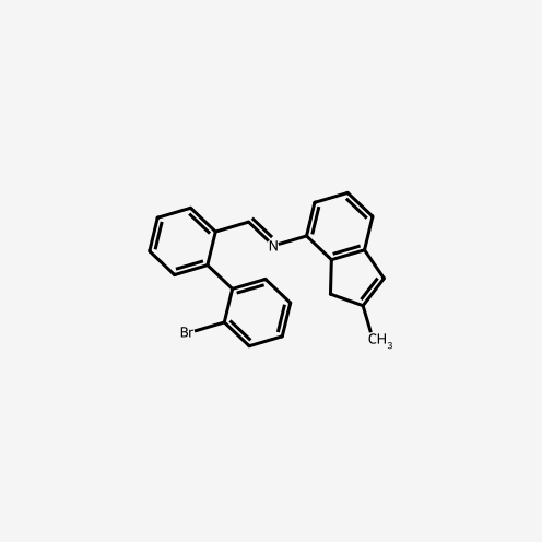 CC1=Cc2cccc(N=Cc3ccccc3-c3ccccc3Br)c2C1